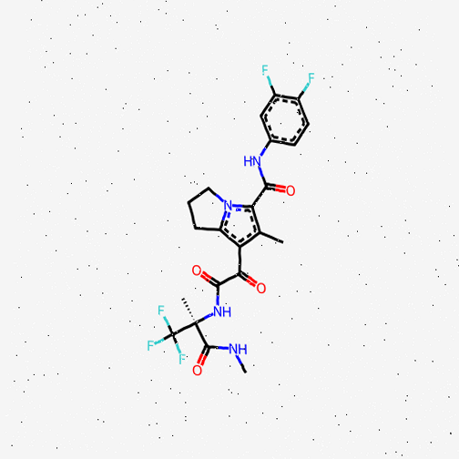 CNC(=O)[C@](C)(NC(=O)C(=O)c1c(C)c(C(=O)Nc2ccc(F)c(F)c2)n2c1CCC2)C(F)(F)F